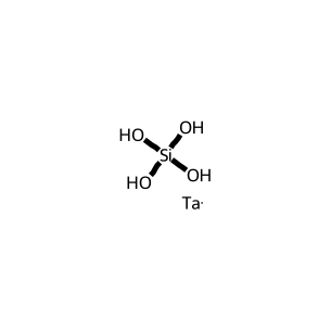 O[Si](O)(O)O.[Ta]